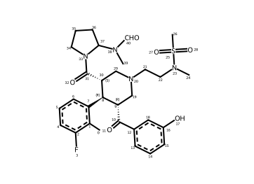 Cc1c(F)cccc1[C@@H]1[C@@H](C(=O)c2cccc(O)c2)CN(CCN(C)S(C)(=O)=O)C[C@H]1C(=O)N1CCCC1N(C)C=O